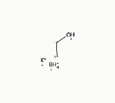 CCO.[BH4-].[K+]